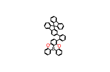 c1ccc2c(c1)Oc1ccc(-c3ccccc3-c3ccc4c(c3)C3(c5ccccc5-c5ccccc53)c3ccccc3-4)c3c1B2c1ccccc1O3